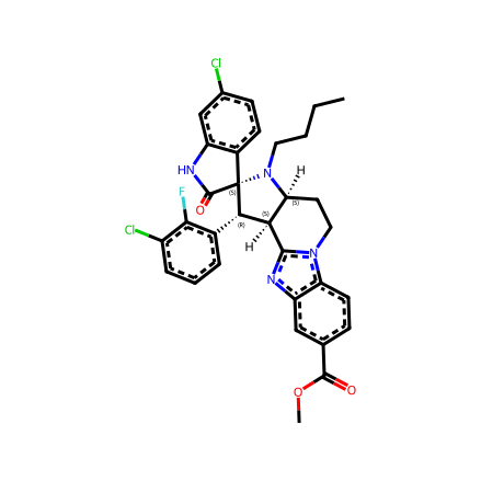 CCCCN1[C@H]2CCn3c(nc4cc(C(=O)OC)ccc43)[C@H]2[C@H](c2cccc(Cl)c2F)[C@]12C(=O)Nc1cc(Cl)ccc12